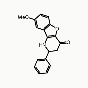 COc1ccc2oc3c(c2c1)NC(c1ccccc1)CC3=O